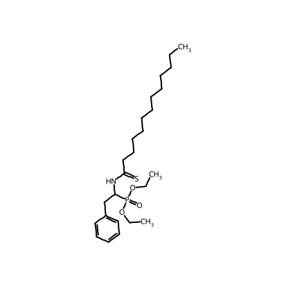 CCCCCCCCCCCCC(=S)NC(Cc1ccccc1)P(=O)(OCC)OCC